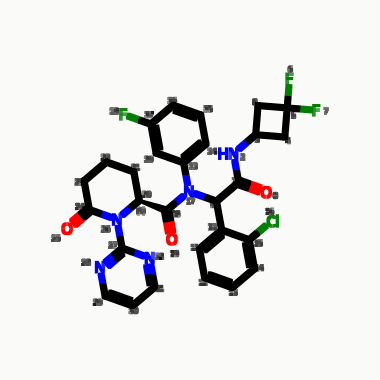 O=C(NC1CC(F)(F)C1)C(c1ccccc1Cl)N(C(=O)[C@@H]1CCCC(=O)N1c1ncccn1)c1cccc(F)c1